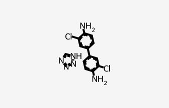 Nc1ccc(-c2ccc(N)c(Cl)c2)cc1Cl.c1nnn[nH]1